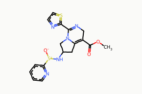 COC(=O)C1=C2CC(N[S+]([O-])c3ccccn3)CN2C(c2nccs2)=NC1